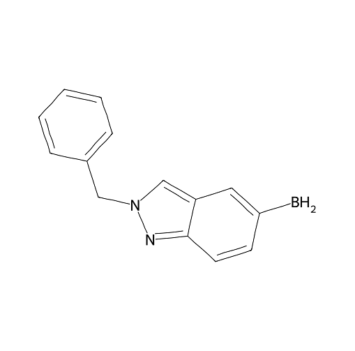 Bc1ccc2nn(Cc3ccccc3)cc2c1